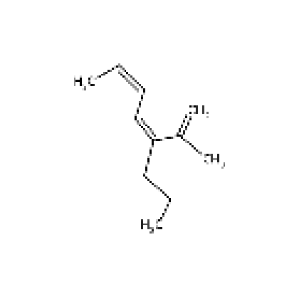 C=C(C)/C(=C\C=C/C)CCC